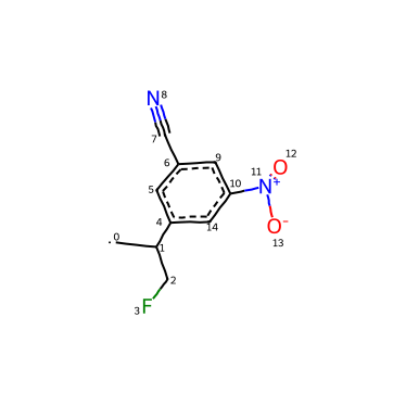 [CH2]C(CF)c1cc(C#N)cc([N+](=O)[O-])c1